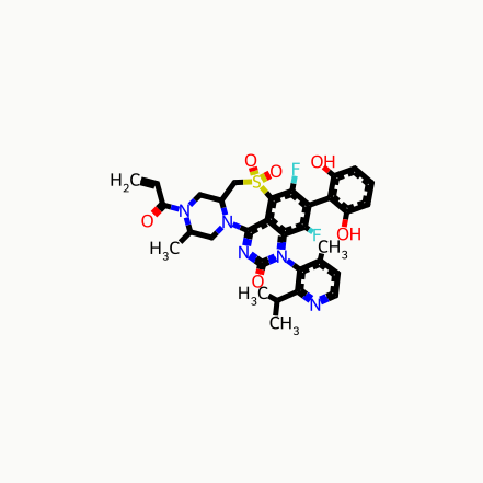 C=CC(=O)N1CC2CS(=O)(=O)c3c(F)c(-c4c(O)cccc4O)c(F)c4c3c(nc(=O)n4-c3c(C)ccnc3C(C)C)N2CC1C